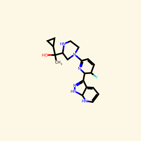 CC(O)(C1CC1)C1CN(C2=NC(C3=NNC4NC=CC=C34)C(F)C=C2)CCN1